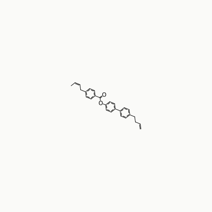 C=CCCc1ccc(-c2ccc(OC(=O)c3ccc(C/C=C\C)cc3)cc2)cc1